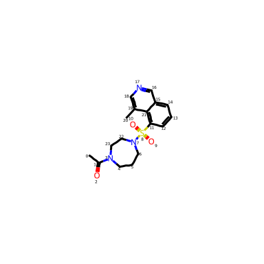 CC(=O)N1CCCN(S(=O)(=O)c2cccc3cncc(C)c23)CC1